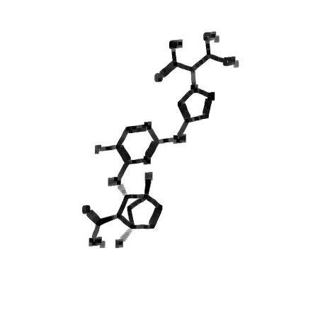 CC(C)C(C(=O)O)n1cc(Nc2ncc(F)c(N[C@H]3[C@H](C(N)=O)[C@@H]4C=C[C@@H]3C4)n2)cn1